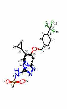 CS(=O)(=O)Nc1nnc2cc(OCC3CCC(C(F)(F)F)CC3)c(C3CC3)cn12